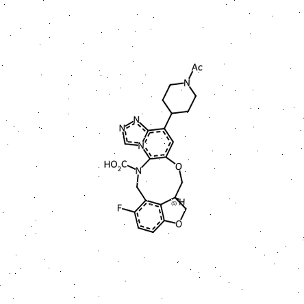 CC(=O)N1CCC(c2cc3c(n4cnnc24)N(C(=O)O)Cc2c(F)ccc4c2[C@@H](CO4)CO3)CC1